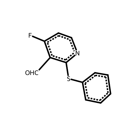 O=Cc1c(F)ccnc1Sc1ccccc1